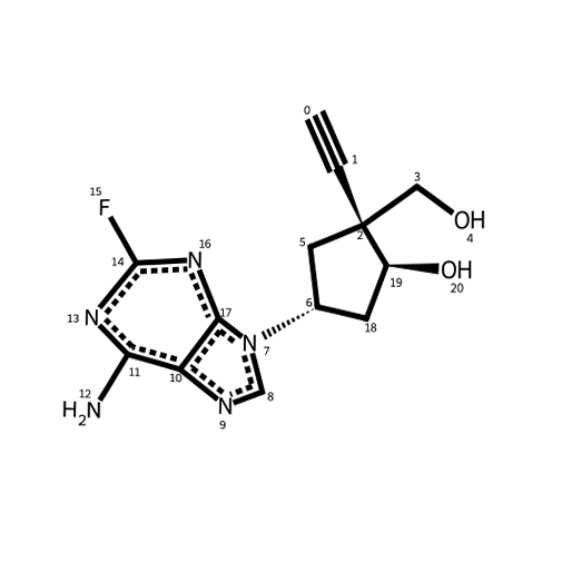 C#C[C@]1(CO)C[C@@H](n2cnc3c(N)nc(F)nc32)C[C@@H]1O